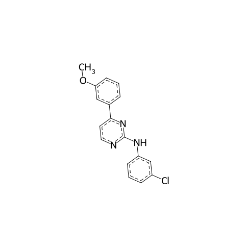 COc1cccc(-c2ccnc(Nc3cccc(Cl)c3)n2)c1